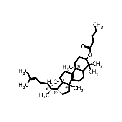 CCCCC(=O)OC1CC[C@]2(C)C3=C(CCC2C1(C)C)[C@]1(C)CC[C@H]([C@H](C)CCC=C(C)C)[C@@]1(C)CC3